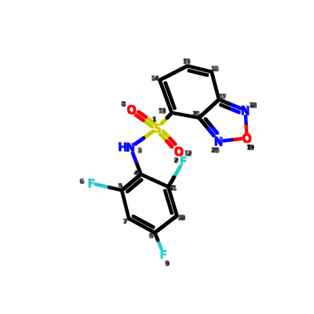 O=S(=O)(Nc1c(F)cc(F)cc1F)c1cccc2nonc12